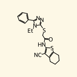 CCn1c(SCC(=O)Nc2sc3c(c2C#N)CCCC3)nnc1-c1ccccc1